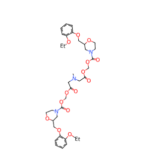 CCOc1ccccc1OCC1CN(C(=O)OCOC(=O)CN(C)CC(=O)OCOC(=O)N2CCOC(COc3ccccc3OCC)C2)CCO1